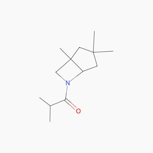 CC(C)C(=O)N1CC2(C)CC(C)(C)CC12